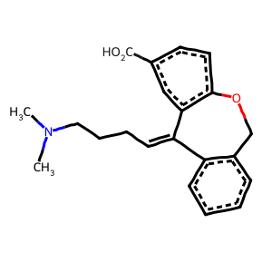 CN(C)CCCC=C1c2ccccc2COc2ccc(C(=O)O)cc21